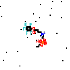 CCCOP(=O)(O)OCC[N+](C)(C)CCCC(=O)Oc1c(F)c(F)c(F)c(F)c1F